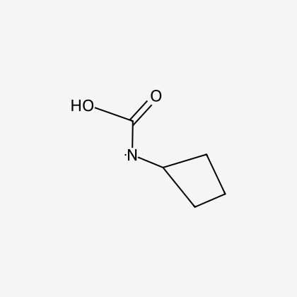 O=C(O)[N]C1CCC1